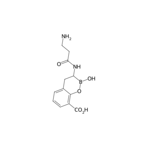 NCCC(=O)NC1Cc2cccc(C(=O)O)c2OB1O